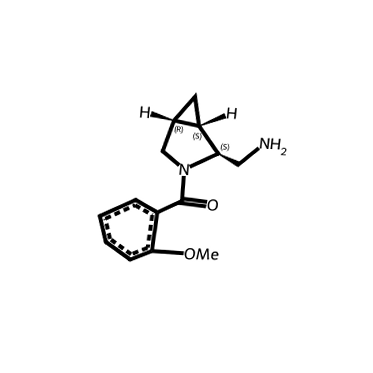 COc1ccccc1C(=O)N1C[C@@H]2C[C@@H]2[C@H]1CN